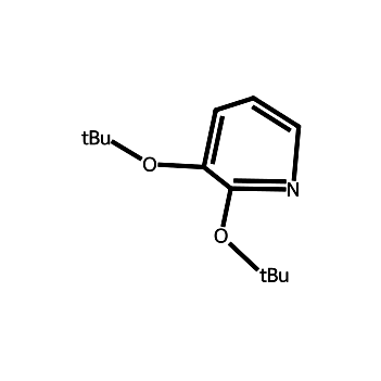 CC(C)(C)Oc1cccnc1OC(C)(C)C